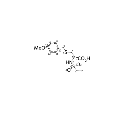 C=CS(=O)(=O)N[C@@H](CSCc1ccc(OC)cc1)C(=O)O